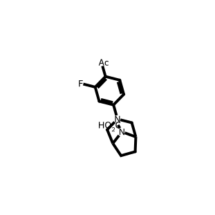 CC(=O)c1ccc(N2CC3CCC(C2)N3C(=O)O)cc1F